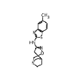 Cc1ccc2sc(NC3=NOC4(C3)CN3CCC4CC3)nc2c1